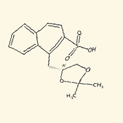 CC1(C)OC[C@@H](Cc2c(S(=O)(=O)O)ccc3ccccc23)O1